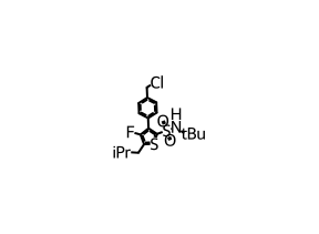 CC(C)Cc1sc(S(=O)(=O)NC(C)(C)C)c(-c2ccc(CCl)cc2)c1F